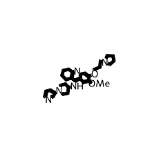 COc1cc2c(NC3CCN(c4cccnc4)CC3)c3c(nc2cc1OCCCN1CCCC1)CCCC3